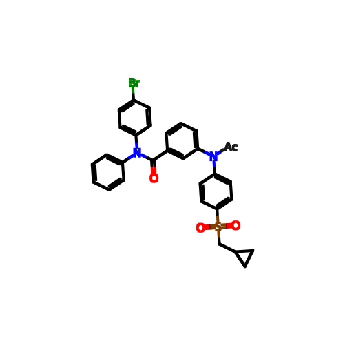 CC(=O)N(c1ccc(S(=O)(=O)CC2CC2)cc1)c1cccc(C(=O)N(c2ccccc2)c2ccc(Br)cc2)c1